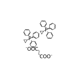 O=C([O-])CCC(=O)[O-].c1ccc([P+](c2ccccc2)(c2ccccc2)C2CC2)cc1.c1ccc([P+](c2ccccc2)(c2ccccc2)C2CC2)cc1